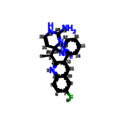 C[C@H](c1nc2ccc(F)cc2cc1-c1ccccn1)C1(N)C=CNC(N)=N1